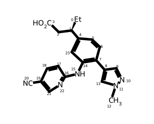 CC[C@H](CC(=O)O)c1ccc(-c2cnn(C)c2)c(Nc2ccc(C#N)cn2)c1